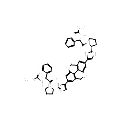 CNC(=O)N[C@@H](C(=O)N1CCC[C@H]1c1ncc(-c2cc3c4c(c2)OCc2cc(-c5cnc([C@@H]6CCCN6C(=O)[C@H](NC(=O)NC)c6ccccc6)[nH]5)cc(c2-4)OC3)[nH]1)c1ccccc1